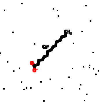 CCCCCCCCCCCCCCC(=O)[O-].[Cs+]